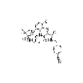 Cn1c(=O)c(C(=O)NCc2ccc(C#N)cc2)nc2c(Cl)ccc(OCC3(S(N)(=O)=O)CC3)c21